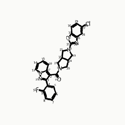 O=C(c1c(-c2ccccc2F)nn2ccccc12)N1CC2CN(c3nc4cc(Cl)ccc4o3)CC2C1